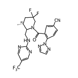 C[C@@H]1CC(F)(F)CN(C(=O)c2cc(C#N)ccc2-n2nccn2)C1CNc1ncc(C(F)(F)F)cn1